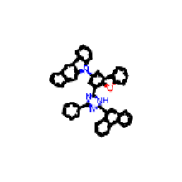 c1ccc(C2=NC(c3cc4ccccc4c4ccccc34)NC(c3cc(-n4c5ccccc5c5cc6ccccc6cc54)cc4c3oc3ccccc34)=N2)cc1